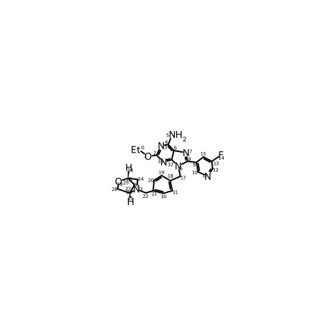 CCOc1nc(N)c2nc(-c3cncc(F)c3)n(Cc3ccc(CN4C[C@@H]5C[C@H]4CO5)cc3)c2n1